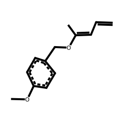 C=C/C=C(\C)OCc1ccc(OC)cc1